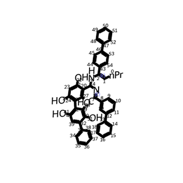 CCC/C=C(/NC(/N=C(\C)c1cccc(-c2ccccc2)c1)c1c(O)cc(O)c2c1oc1c(O)c(-c3ccccc3)cc(O)c12)c1ccc(-c2ccccc2)cc1